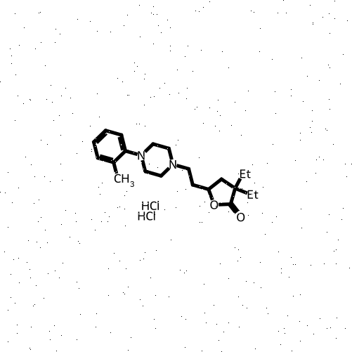 CCC1(CC)CC(CCN2CCN(c3ccccc3C)CC2)OC1=O.Cl.Cl